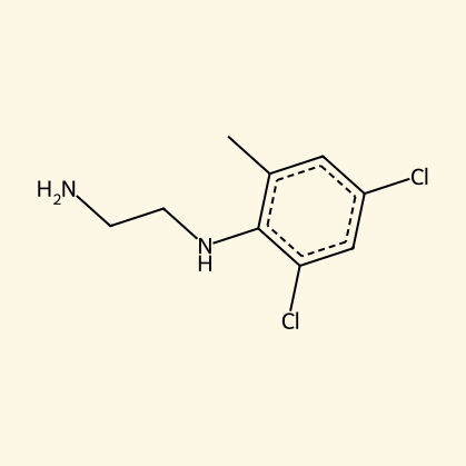 Cc1cc(Cl)cc(Cl)c1NCCN